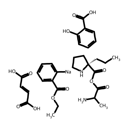 CCC[C@@]1(C(=O)OC(=O)C(C)N)CCCN1.CCOC(=O)c1cccc[c]1[Na].O=C(O)C=CC(=O)O.O=C(O)c1ccccc1O